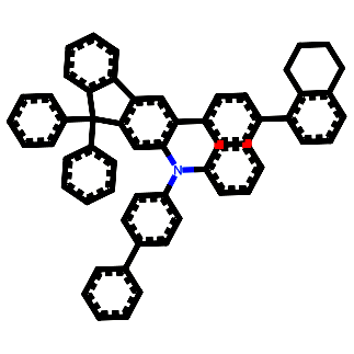 c1ccc(-c2ccc(N(c3ccccc3)c3cc4c(cc3-c3ccc(-c5cccc6c5CCCC6)cc3)-c3ccccc3C4(c3ccccc3)c3ccccc3)cc2)cc1